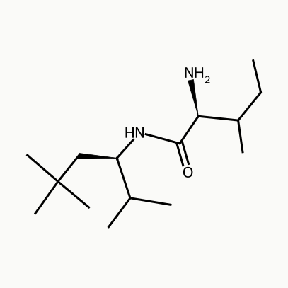 CCC(C)[C@H](N)C(=O)N[C@H](CC(C)(C)C)C(C)C